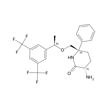 C[C@@H](OC[C@@]1(c2ccccc2)CC[C@H](N)C(=O)N1)c1cc(C(F)(F)F)cc(C(F)(F)F)c1